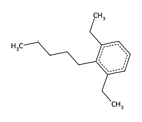 C[CH]CCCc1c(CC)cccc1CC